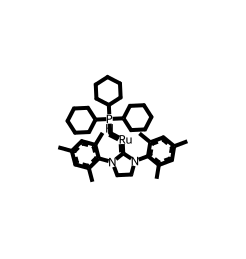 Cc1cc(C)c(N2CCN(c3c(C)cc(C)cc3C)[C]2=[Ru]=[CH][PH](C2CCCCC2)(C2CCCCC2)C2CCCCC2)c(C)c1